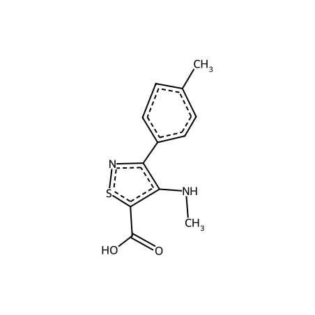 CNc1c(-c2ccc(C)cc2)nsc1C(=O)O